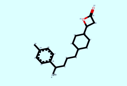 CCCC(CCCC1CCC(C2CC(=O)O2)CC1)c1ccc(C)cc1